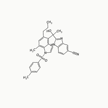 CCCc1cc(C)c2c(ccn2S(=O)(=O)c2ccc(C)cc2)c1C(C)(O)c1nc2cc(C#N)ccc2[nH]1